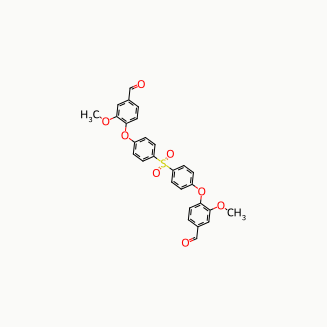 COc1cc(C=O)ccc1Oc1ccc(S(=O)(=O)c2ccc(Oc3ccc(C=O)cc3OC)cc2)cc1